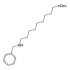 CCCCCCCCCCCCCCCCCCCNCc1ccccc1